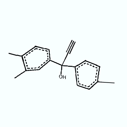 C#CC(O)(c1ccc(C)cc1)c1ccc(C)c(C)c1